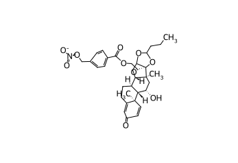 CCCC1OC2C[C@H]3[C@@H]4CCC5=CC(=O)C=C[C@]5(C)[C@H]4[C@@H](O)C[C@]3(C)[C@]2(C(=O)COC(=O)c2ccc(CO[N+](=O)[O-])cc2)O1